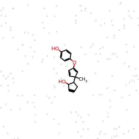 CC1(C2CC#CC2O)C=CC(Oc2ccc(O)cc2)=C1